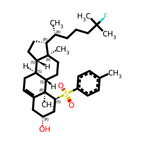 Cc1ccc(S(=O)(=O)[C@H]2C[C@H](O)CC3=CC[C@H]4[C@@H]5CC[C@H]([C@H](C)CCCC(C)(C)F)[C@@]5(C)CC[C@@H]4[C@]32C)cc1